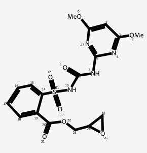 COc1cc(OC)nc(NC(=O)NS(=O)(=O)c2ccccc2C(=O)OCC2CO2)n1